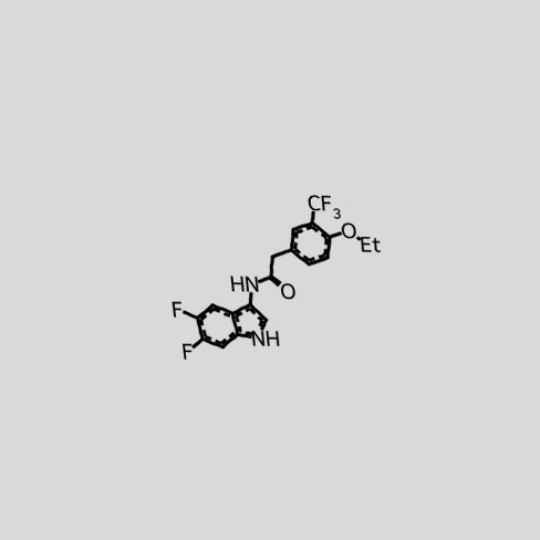 CCOc1ccc(CC(=O)Nc2c[nH]c3cc(F)c(F)cc23)cc1C(F)(F)F